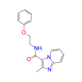 Cc1nc2ccccn2c1C(=O)NCCOc1ccccc1